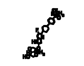 CS(=O)(=NC(F)(F)F)c1ccc(C2=CC=C(c3nc4cc(O[C@@H]5CO[C@@H]6[C@H](O)CO[C@@]65N)[nH]c4cc3F)CC2)cc1